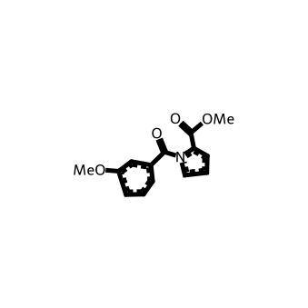 COC(=O)c1cccn1C(=O)c1cccc(OC)c1